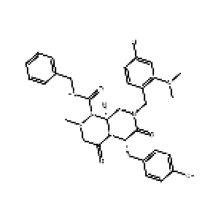 CN(C)c1cc(Cl)ccc1CN1C[C@H]2N(C(=O)CN(C)N2C(=O)NCc2ccccc2)[C@@H](Cc2ccc(O)cc2)C1=O